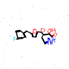 O=C(c1ccc(Cc2ccc(F)cc2)o1)c1cc[nH]c(=O)c1O